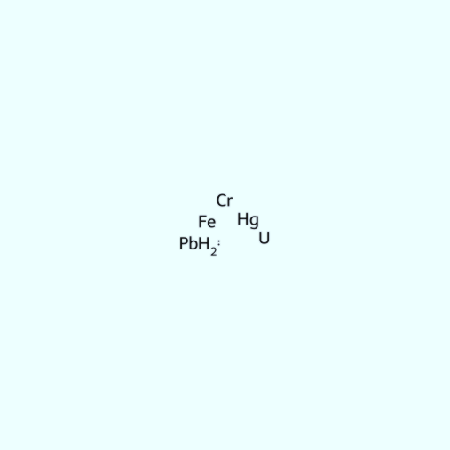 [Cr].[Fe].[Hg].[PbH2].[U]